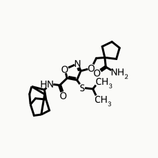 CC(C)Sc1c(OCC2(C(N)=O)CCCC2)noc1C(=O)NC1C2CC3CC(C2)CC1C3